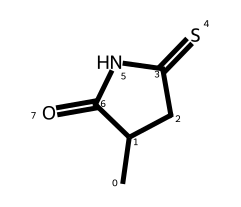 CC1CC(=S)NC1=O